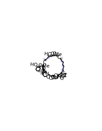 CO[C@@H]1C[C@H](C[C@H]2C3CCN4C(=O)C(=O)[C@]5(O)O[C@@H](CC[C@H]5C)C[C@H](N5CCCS5(=O)=O)/C(C)=C/C=C/C=C/[C@@H](C)C[C@@H](C)C(=O)[C@H](OC)[C@H](O)/C(C)=C/[C@@H](C)CC[C@@H]2OC(=O)[C@@H]4C3)CC[C@H]1O